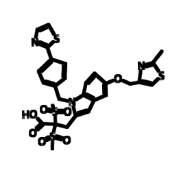 Cc1nc(COc2ccc3c(c2)cc(CC(C(=O)O)(S(C)(=O)=O)S(C)(=O)=O)n3Cc2ccc(-c3nccs3)cc2)cs1